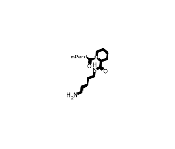 CCCCCC(=O)N1CCCCC1C(=O)NCCCCCN